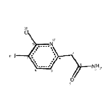 NC(=O)Cc1ccc(I)c(Cl)n1